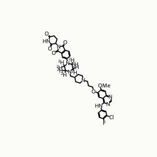 [2H]C1([2H])N(CC2CCN(CCCOc3cc4c(Nc5ccc(F)c(Cl)c5)ncnc4cc3OC)CC2)C([2H])([2H])C([2H])([2H])N(c2ccc3c(c2)C(=O)N(C2CCC(=O)NC2=O)C3=O)C1([2H])[2H]